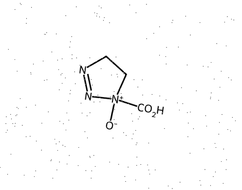 O=C(O)[N+]1([O-])CCN=N1